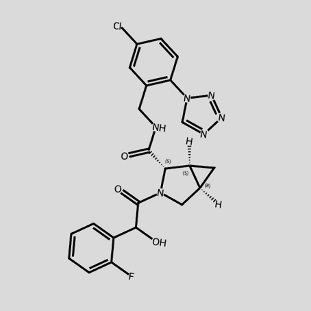 O=C(NCc1cc(Cl)ccc1-n1cnnn1)[C@@H]1[C@H]2C[C@H]2CN1C(=O)C(O)c1ccccc1F